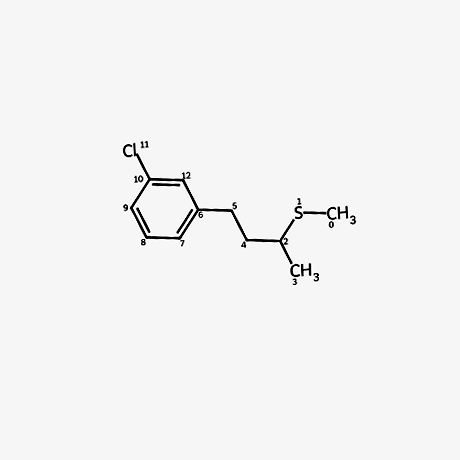 CSC(C)CCc1cccc(Cl)c1